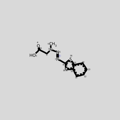 CN(CC(=O)O)/N=N/c1nc2ccccc2s1